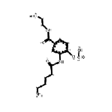 NCCCCC(=O)Nc1cc(C(=O)NCCC(=O)O)ccc1Cl.O=CO